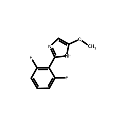 COc1cnc(-c2c(F)cccc2F)[nH]1